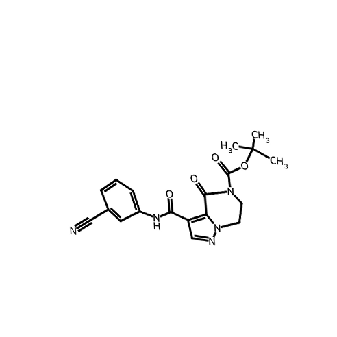 CC(C)(C)OC(=O)N1CCn2ncc(C(=O)Nc3cccc(C#N)c3)c2C1=O